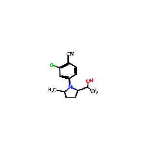 CC1CCC([C@@H](O)C(F)(F)F)N1c1ccc(C#N)c(Cl)c1